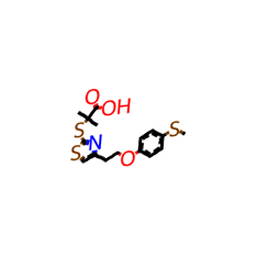 CSc1ccc(OCCc2csc(SC(C)(C)C(=O)O)n2)cc1